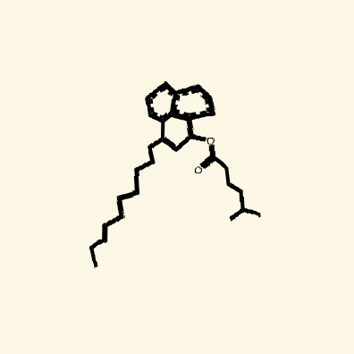 CCCCCCCCCCC1=CC(OC(=O)CCCC(C)C)c2cccc3cccc1c23